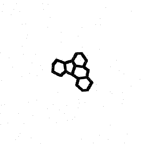 C1CCC2C(C1)CC1CCCC3C4CCCCC4C2C13